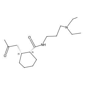 CCN(CC)CCCNC(=O)[C@@H]1CCCC[C@@H]1CC(C)=O